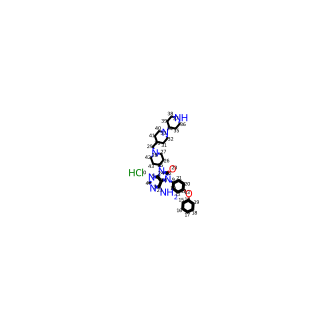 Cl.Nc1ncnc2c1n(-c1ccc(Oc3ccccc3)cc1)c(=O)n2C1CCN(CC2CCN(C3CCNCC3)CC2)CC1